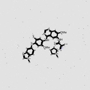 COc1cc2ncnc(Nc3cc(F)c(Oc4ccc5c(c4)ncn5C)cc3OC)c2cc1NC(=O)/C(F)=C\[C@H]1CCCN1C